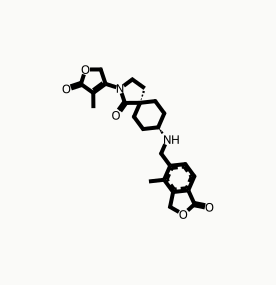 CC1=C(N2CC[C@]3(CC[C@@H](NCc4ccc5c(c4C)COC5=O)CC3)C2=O)COC1=O